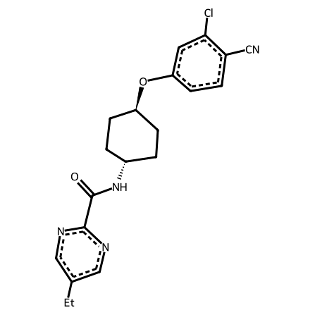 CCc1cnc(C(=O)N[C@H]2CC[C@H](Oc3ccc(C#N)c(Cl)c3)CC2)nc1